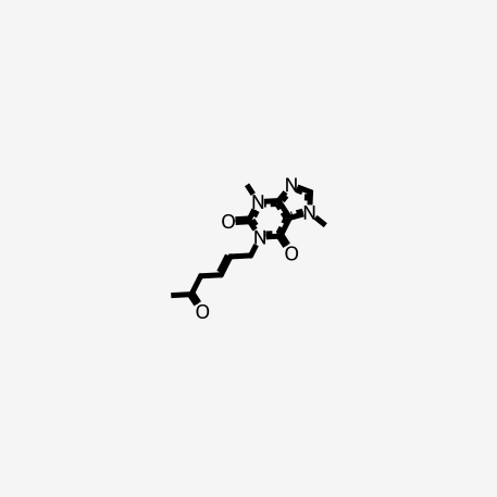 CC(=O)CC=CCn1c(=O)c2c(ncn2C)n(C)c1=O